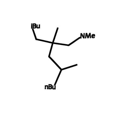 CCCCC(C)CC(C)(CNC)CC(C)CC